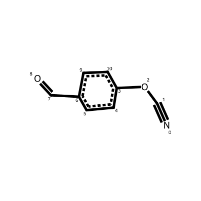 N#COc1ccc(C=O)cc1